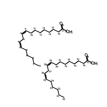 CCCCC/C=C\C/C=C\CCCCCCCC(=O)O.CCCCC/C=C\C/C=C\CCCCCCCC(=O)O